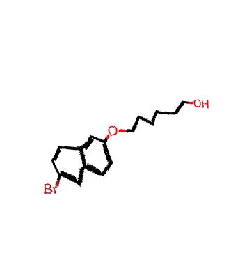 OCCCCCCOc1ccc2cc(Br)ccc2c1